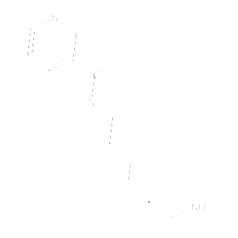 CC(C)(CN)SSCCNC(=O)c1cccnc1